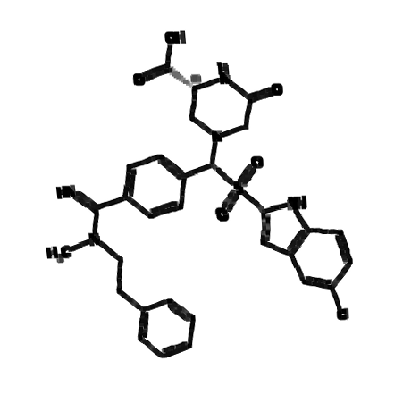 CN(CCc1ccccc1)C(=N)c1ccc(C(N2CC(=O)N[C@@H](C(=O)O)C2)S(=O)(=O)c2cc3cc(Cl)ccc3[nH]2)cc1